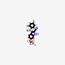 CS(=O)(=O)c1ccc2c([S+]([O-])c3ccc(F)cc3F)c(C#N)[nH]c2c1